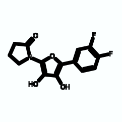 O=C1CCCN1c1oc(-c2ccc(F)c(F)c2)c(O)c1O